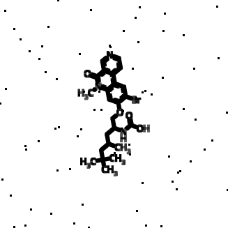 CC(CC(COc1cc2c(cc1Br)c1ccncc1c(=O)n2C)NC(=O)O)CC(C)(C)C